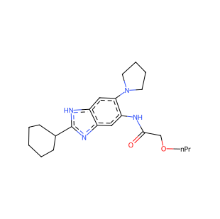 CCCOCC(=O)Nc1cc2nc(C3CCCCC3)[nH]c2cc1N1CCCC1